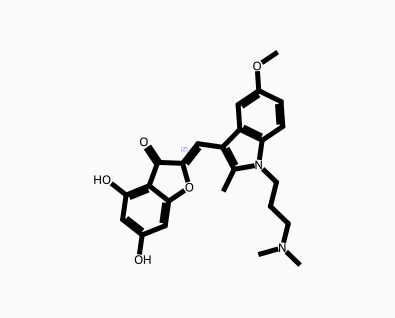 COc1ccc2c(c1)c(/C=C1\Oc3cc(O)cc(O)c3C1=O)c(C)n2CCCN(C)C